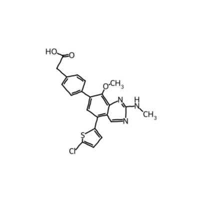 CNc1ncc2c(-c3ccc(Cl)s3)cc(-c3ccc(CC(=O)O)cc3)c(OC)c2n1